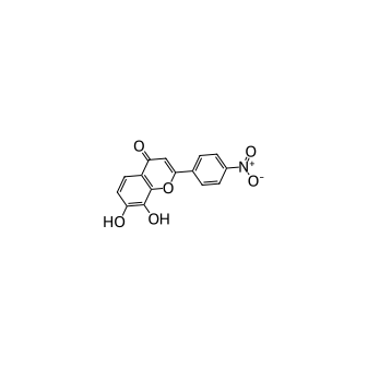 O=c1cc(-c2ccc([N+](=O)[O-])cc2)oc2c(O)c(O)ccc12